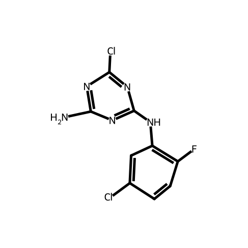 Nc1nc(Cl)nc(Nc2cc(Cl)ccc2F)n1